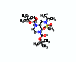 CC(C)N(C[C@H]1CN(C(=O)OC(C)(C)C)CCN1C(=O)OC(C)(C)C)S(C)(=O)=O